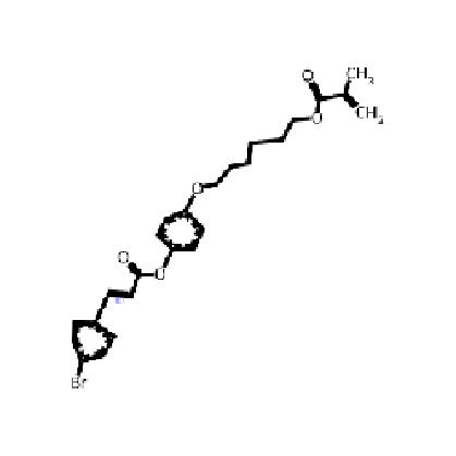 C=C(C)C(=O)OCCCCCCOc1ccc(OC(=O)/C=C/c2ccc(Br)cc2)cc1